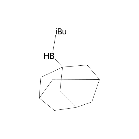 CCC(C)BC12CC3CC(CC(C3)C1)C2